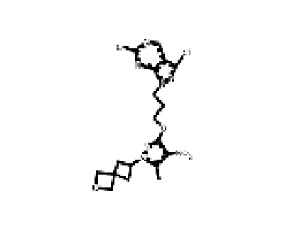 Cc1c([N+](=O)[O-])c(OCCCn2nc(Cl)c3cnc(Cl)nc32)nn1C1CC2(COC2)C1